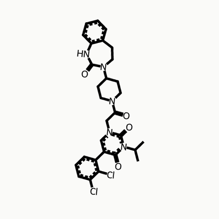 CC(C)n1c(=O)c(-c2cccc(Cl)c2Cl)cn(CC(=O)N2CCC(N3CCc4ccccc4NC3=O)CC2)c1=O